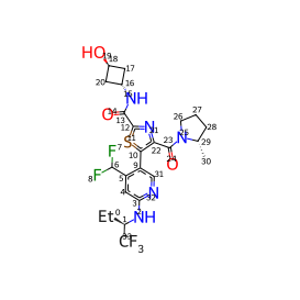 CC[C@@H](Nc1cc(C(F)F)c(-c2sc(C(=O)N[C@H]3C[C@H](O)C3)nc2C(=O)N2CCC[C@@H]2C)cn1)C(F)(F)F